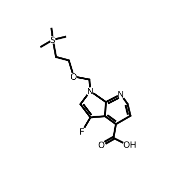 CS(C)(C)CCOCn1cc(F)c2c(C(=O)O)ccnc21